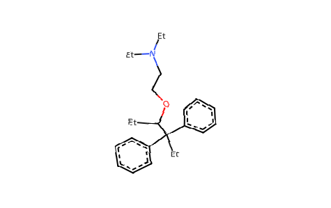 CCC(OCCN(CC)CC)C(CC)(c1ccccc1)c1ccccc1